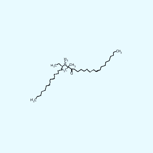 CCCCCCCC/C=C\CCCCCCCC(=O)C(C)(C)N(C)C(CC)CCCCCCCCCCCCC